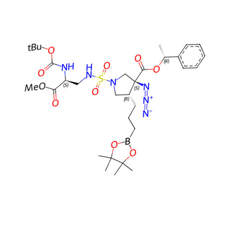 COC(=O)[C@H](CNS(=O)(=O)N1C[C@@H](CCCB2OC(C)(C)C(C)(C)O2)[C@@](N=[N+]=[N-])(C(=O)O[C@H](C)c2ccccc2)C1)NC(=O)OC(C)(C)C